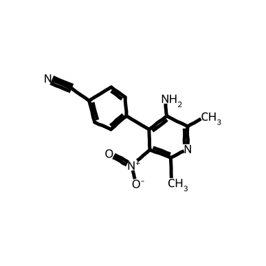 Cc1nc(C)c([N+](=O)[O-])c(-c2ccc(C#N)cc2)c1N